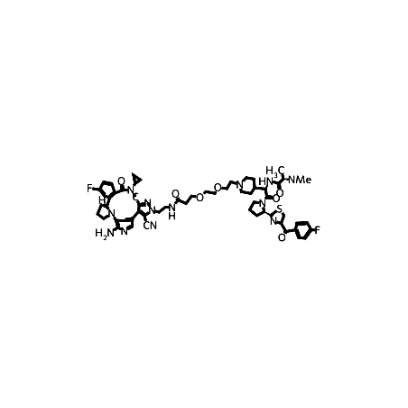 CN[C@H](C)C(=O)N[C@@H](C(=O)N1CCC[C@@H]1C1=NC(C(=O)c2ccc(F)cc2)CS1)C1CCN(CCOCCOCCC(=O)NCCn2nc3c(c2C#N)-c2cnc(N)c(c2)N2CCC[C@@H]2c2cc(F)ccc2C(=O)N(C2CC2)C3)CC1